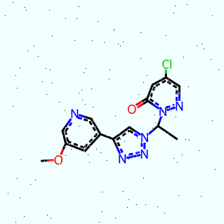 COc1cncc(-c2cn(C(C)n3ncc(Cl)cc3=O)nn2)c1